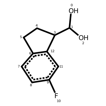 OC(O)C1CCc2ccc(F)cc21